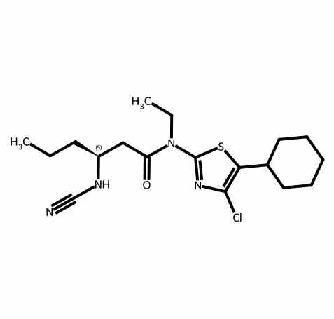 CCC[C@@H](CC(=O)N(CC)c1nc(Cl)c(C2CCCCC2)s1)NC#N